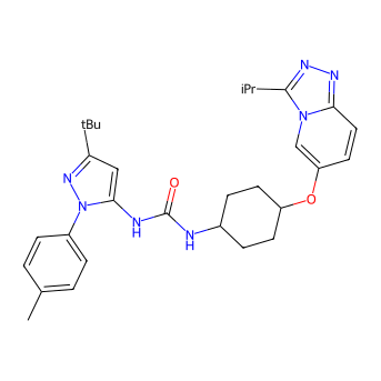 Cc1ccc(-n2nc(C(C)(C)C)cc2NC(=O)NC2CCC(Oc3ccc4nnc(C(C)C)n4c3)CC2)cc1